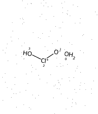 O.[O-][Cl+]O